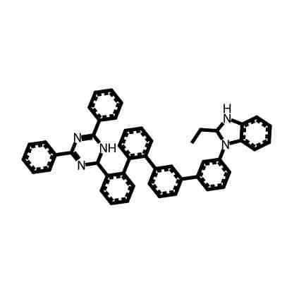 CCC1Nc2ccccc2N1c1cccc(-c2cccc(-c3ccccc3-c3ccccc3C3N=C(c4ccccc4)N=C(c4ccccc4)N3)c2)c1